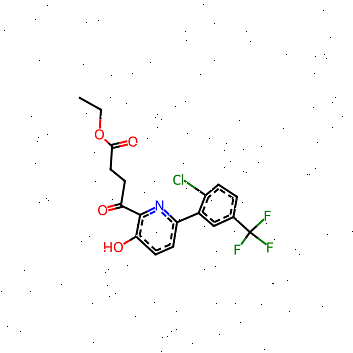 CCOC(=O)CCC(=O)c1nc(-c2cc(C(F)(F)F)ccc2Cl)ccc1O